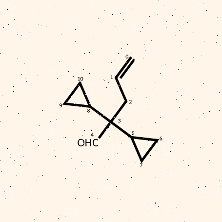 C=CCC(C=O)(C1CC1)C1CC1